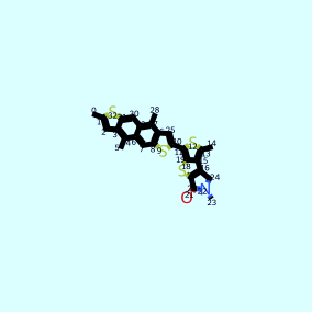 Cc1cc2c(C)c3cc4sc(-c5sc(C)c6c7c(sc56)C(=O)N(C)C7)cc4c(C)c3cc2s1